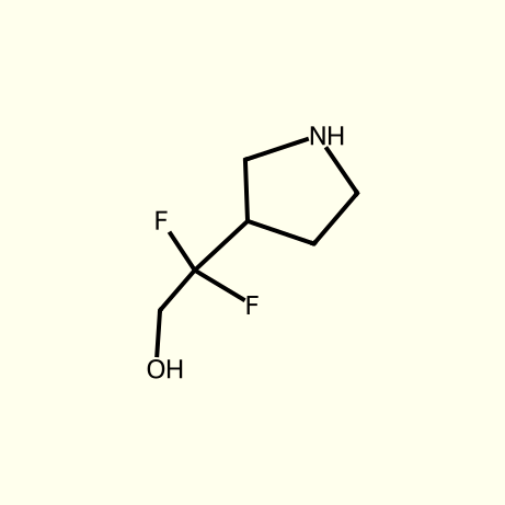 OCC(F)(F)C1CCNC1